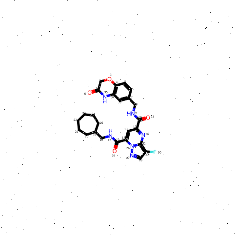 O=C1COc2ccc(CNC(=O)c3cc(C(=O)NCC4CCCCCC4)n4ncc(F)c4n3)cc2N1